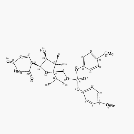 COc1ccc(OP(=O)(OC[C@@]2(C(F)F)O[C@@H](n3ccc(=O)[nH]c3=O)[C@@H](O)C2(F)F)Oc2ccc(OC)cc2)cc1